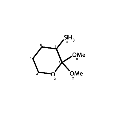 COC1(OC)OCCCC1[SiH3]